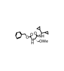 COC[C@H](NC(=O)OCc1ccccc1)C(=O)NC(C1CC1)C1CC1